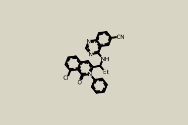 CCC(Nc1ncnc2ccc(C#N)cc12)c1cc2cccc(Cl)c2c(=O)n1-c1ccccc1